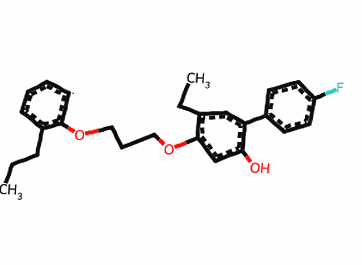 CCCc1ccc[c]c1OCCCOc1cc(O)c(-c2ccc(F)cc2)cc1CC